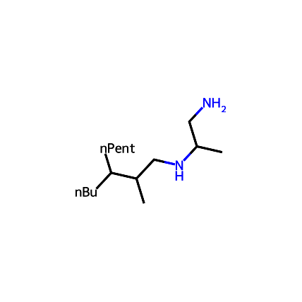 CCCCCC(CCCC)C(C)CNC(C)CN